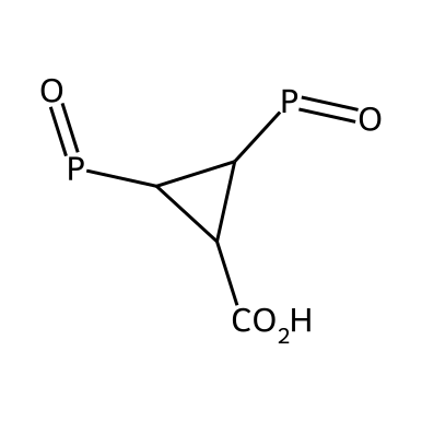 O=PC1C(P=O)C1C(=O)O